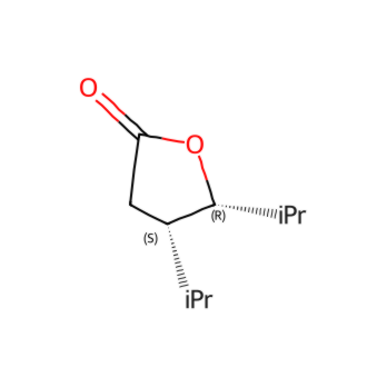 CC(C)[C@H]1OC(=O)C[C@H]1C(C)C